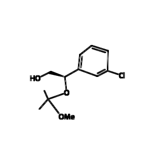 COC(C)(C)O[C@@H](CO)c1cccc(Cl)c1